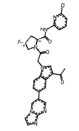 CC(=O)c1cn(CC(=O)N2C[C@H](F)C[C@H]2C(=O)Nc2cccc(Cl)n2)c2ccc(-c3cnc4nccn4c3)cc12